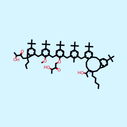 CCCCC/C1=C(\C(C)O)CCc2c(Cc3cc(C(C)(C)C)cc(Cc4cc(C(C)(C)C)cc(Cc5cc(C(C)(C)C)cc(Cc6cc(C(C)(C)C)cc7c6C7(CCC)CC(=O)C(C)O)c5OC)c4OCC(=O)C(C)O)c3C)cc(C(C)(C)C)cc2Cc2cc(C(C)(C)C)cc3c2C3C1